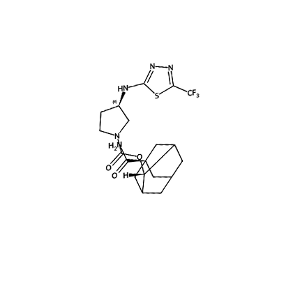 NC(=O)[C@]12CC3CC(C1)[C@@H](OC(=O)N1CC[C@@H](Nc4nnc(C(F)(F)F)s4)C1)C(C3)C2